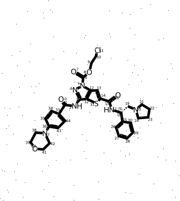 O=C(Nc1nn(C(=O)OCCCl)c2cc(C(=O)N[C@H](CN3CCCC3)c3ccccc3)sc12)c1ccc(N2CCOCC2)cc1